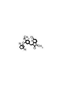 COc1ccc(/C=C2/C(=O)N(C)c3ccc(Cl)nc32)cc1O[C@H]1C[C@@H]2CC[C@H]1C2